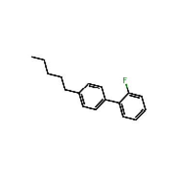 CCCCCc1ccc(-c2ccccc2F)cc1